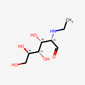 CCN[C@H](C=O)[C@@H](O)[C@H](O)[C@H](O)CO